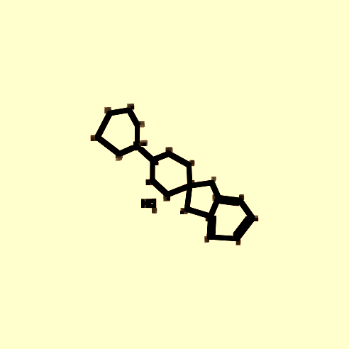 Cl.c1ccc2c(c1)CC1(CCC(N3CCCCC3)CC1)C2